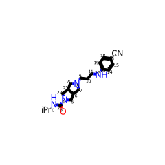 CC(C)NC(=O)N1CC2CN(CCCNc3ccc(C#N)cc3)CC2C1